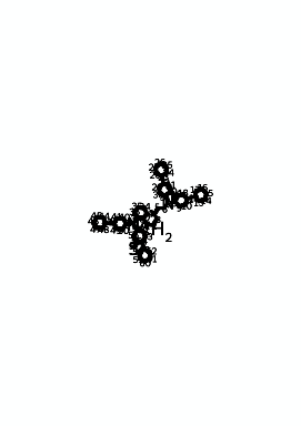 C=C(/C=C\C=C/Cn1c2ccc(-c3ccccc3)cc2c2cc(-c3ccccc3)ccc21)c1ccccc1N(c1ccc(-c2ccccc2)cc1)c1ccc2c(c1)sc1ccccc12